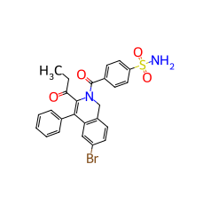 CCC(=O)C1=C(c2ccccc2)c2cc(Br)ccc2CN1C(=O)c1ccc(S(N)(=O)=O)cc1